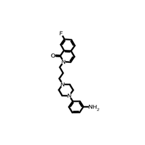 Nc1cccc(N2CCN(CCCn3ccc4ccc(F)cc4c3=O)CC2)c1